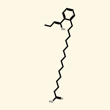 CC/C=C(\O)c1ccccc1CCCCCCCCCCCCCCC(=O)O